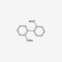 COc1ccc[c]c1-c1ccccc1OC